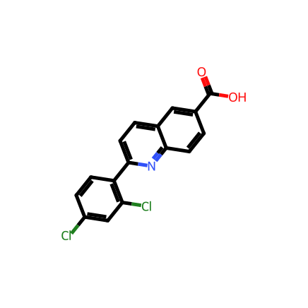 O=C(O)c1ccc2nc(-c3ccc(Cl)cc3Cl)ccc2c1